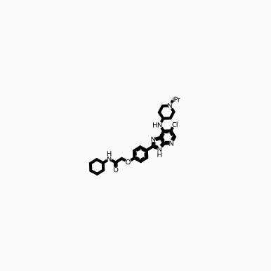 CC(C)N1CCC(Nc2c(Cl)cnc3[nH]c(-c4ccc(OCC(=O)NC5CCCCC5)cc4)nc23)CC1